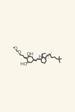 COCOCCC=C1[C@H](O)CC(=C/C=C2\CCC[C@]3(C)[C@@H]([C@H](C)CCCC(C)(C)C)CC[C@@H]23)C[C@H]1O